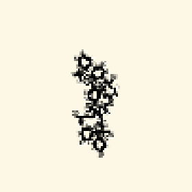 CC[C@@H](CCC[C@@H](CO[Si](c1ccccc1)(c1ccccc1)C(C)(C)C)N(CCC(C)C)S(=O)(=O)c1ccc(CO[Si](c2ccccc2)(c2ccccc2)C(C)(C)C)cc1)N[S+]([O-])C(C)(C)C